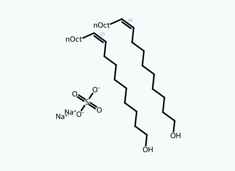 CCCCCCCC/C=C\CCCCCCCCO.CCCCCCCC/C=C\CCCCCCCCO.O=S(=O)([O-])[O-].[Na+].[Na+]